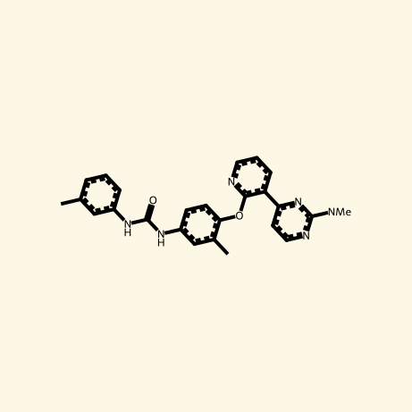 CNc1nccc(-c2cccnc2Oc2ccc(NC(=O)Nc3cccc(C)c3)cc2C)n1